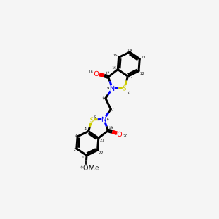 COc1ccc2sn(CCn3sc4ccccc4c3=O)c(=O)c2c1